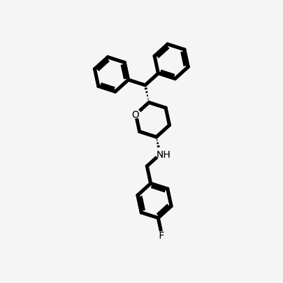 Fc1ccc(CN[C@H]2CC[C@@H](C(c3ccccc3)c3ccccc3)OC2)cc1